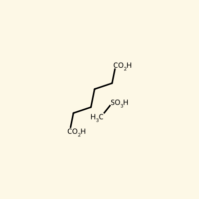 CS(=O)(=O)O.O=C(O)CCCCC(=O)O